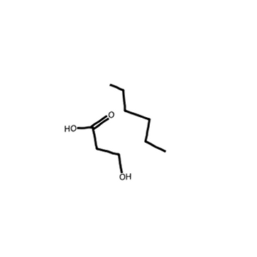 CCCCCC.O=C(O)CCO